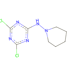 Clc1nc(Cl)nc(NN2CCCCC2)n1